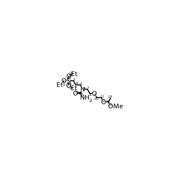 CCO[Si](CCCN(CCOCCOC(C)OC)C(N)=O)(OCC)OCC